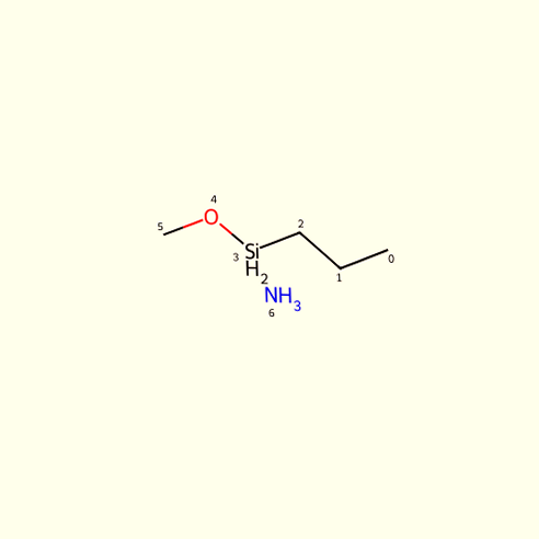 CCC[SiH2]OC.N